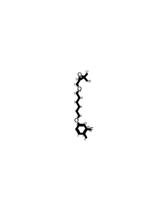 Cc1ccc(OCCCCCCOCC2OC2(C)C)cc1F